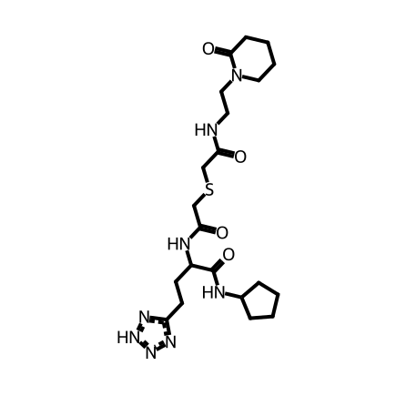 O=C(CSCC(=O)NC(CCc1nn[nH]n1)C(=O)NC1CCCC1)NCCN1CCCCC1=O